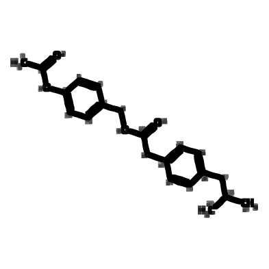 CC(=O)Oc1ccc(COC(=O)Cc2ccc(CC(C)C)cc2)cc1